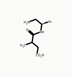 CC(=O)[C@H](CN)NC(=O)C(C)CC(=O)O